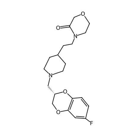 O=C1COCCN1CCC1CCN(C[C@H]2COc3cc(F)ccc3O2)CC1